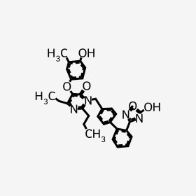 CCCc1nc(CC)c(Oc2ccc(O)c(C)c2)c(=O)n1Cc1ccc(-c2ccccc2-c2noc(O)n2)cc1